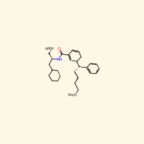 CNC[C@H](CC1CCCCC1)NC(=O)C1=CC([C@@H](CCCCOC)c2ccccc2)CC=C1